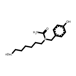 CCCCCCCCCCCCCCCCN(Cc1ccc(O)cc1)C(N)=O